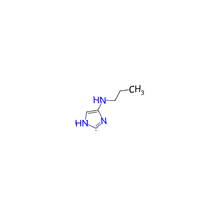 CCCNc1c[nH][c]n1